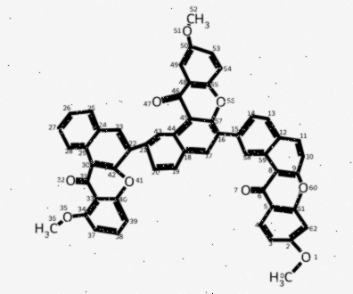 COc1ccc2c(=O)c3c(ccc4ccc(-c5cc6ccc(-c7cc8ccccc8c8c(=O)c9c(OC)cccc9oc78)cc6c6c(=O)c7cc(OC)ccc7oc56)cc43)oc2c1